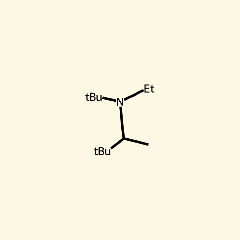 CCN(C(C)C(C)(C)C)C(C)(C)C